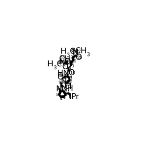 CC(C)Cc1cccc2nc(Cn3c(Cl)ccc(NC(=O)[C@H](CC/C=C/C(=O)N(C)C)OC(=O)N(C)C)c3=O)[nH]c12